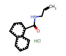 C=CCNC(=O)c1cccc2ccccc12.Cl